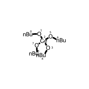 CCCC[O][Ge]([O]CCCC)([O]CCCC)[O]CCCC